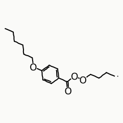 [CH2]CCCOOC(=O)c1ccc(OCCCCCC)cc1